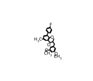 COc1cc(CC2COc3c(cc(C)cc3-c3ccc(F)cc3)C2=O)cc(OC)c1